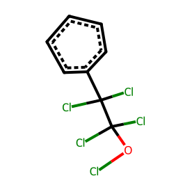 ClOC(Cl)(Cl)C(Cl)(Cl)c1ccccc1